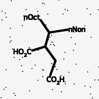 CCCCCCCCCC(CCCCCCCC)C(CC(=O)O)C(=O)O